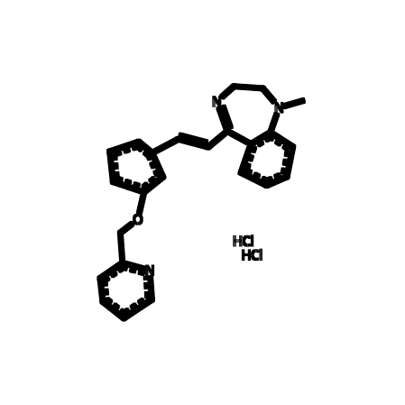 CN1CCN=C(C=Cc2cccc(OCc3ccccn3)c2)c2ccccc21.Cl.Cl